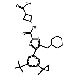 CC(C)(C)c1cc(-c2sc(C(=O)N[C@H]3C[C@H](C(=O)O)C3)nc2CC2CCCCC2)cc(C2(C)CC2)c1